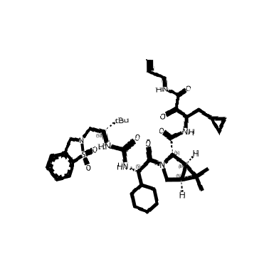 C=CCNC(=O)C(=O)C(CC1CC1)NC(=O)[C@@H]1[C@@H]2[C@H](CN1C(=O)[C@@H](NC(=O)N[C@H](CN1Cc3ccccc3S1(=O)=O)C(C)(C)C)C1CCCCC1)C2(C)C